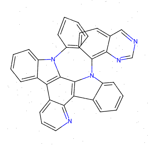 c1ccc(-n2c3ccccc3c3c4cccnc4c4c5ccccc5n(-c5cccc6cncnc56)c4c32)cc1